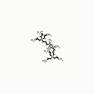 C=CC[Si](CC=C)(CC=C)CCC[Si](C)(C)O[Si](C)(C)CCC[Si](CC=C)(CC=C)CC=C